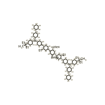 CCCCCCc1cc(-c2ccc(-c3ccc(N(c4ccc(-c5ccccc5)cc4)c4ccc(C(C)(CC)CC)cc4)cc3)c(CC)c2)c(CCCCCC)cc1-c1ccc(-c2ccc(N(c3ccc(-c4ccccc4)cc3)c3ccc(C(C)(CC)CC)cc3)cc2)c(CC)c1